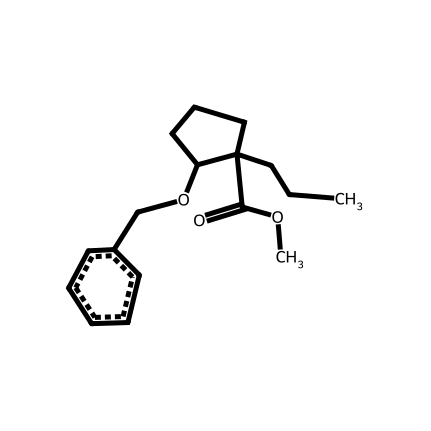 CCCC1(C(=O)OC)CCCC1OCc1ccccc1